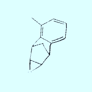 Cc1cccc2c1C1CC2C2OC12